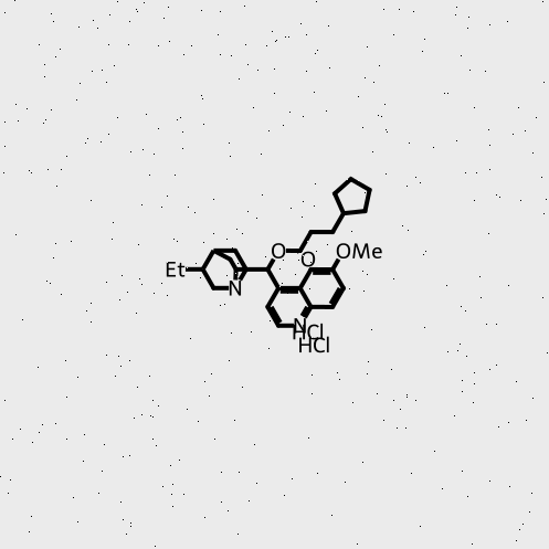 CCC1CN2CCC1CC2C(OC(=O)CCC1CCCC1)c1ccnc2ccc(OC)cc12.Cl.Cl